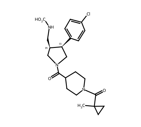 CC1(C(=O)N2CCC(C(=O)N3C[C@@H](CNC(=O)O)[C@@H](c4ccc(Cl)cc4)C3)CC2)CC1